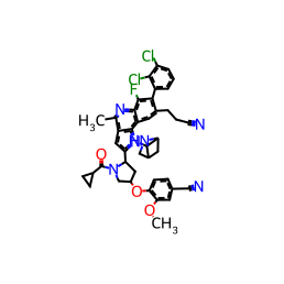 COc1cc(C#N)ccc1OC1CC(c2cc3c(C)nc4c(F)c(-c5cccc(Cl)c5Cl)c(CCC#N)cc4c3n2C2C3CNC2C3)N(C(=O)C2CC2)C1